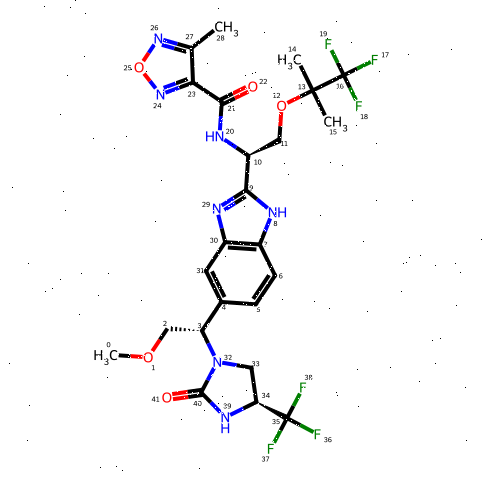 COC[C@H](c1ccc2[nH]c([C@H](COC(C)(C)C(F)(F)F)NC(=O)c3nonc3C)nc2c1)N1C[C@@H](C(F)(F)F)NC1=O